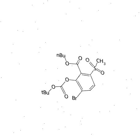 CCCCOC(=O)c1c(S(C)(=O)=O)ccc(Br)c1OC(=O)OC(C)(C)C